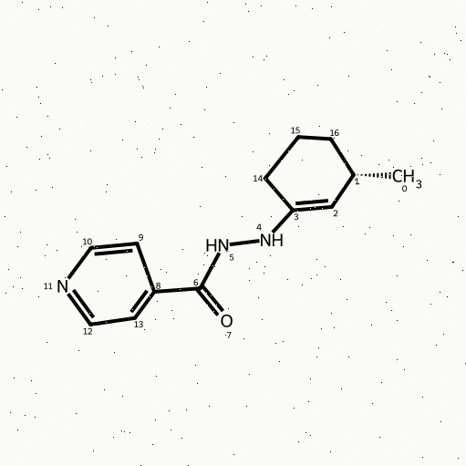 C[C@@H]1C=C(NNC(=O)c2ccncc2)CCC1